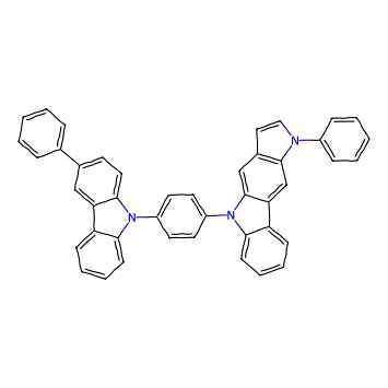 c1ccc(-c2ccc3c(c2)c2ccccc2n3-c2ccc(-n3c4ccccc4c4cc5c(ccn5-c5ccccc5)cc43)cc2)cc1